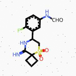 N=C1NC(c2cc(NC=O)ccc2F)CS(=O)(=O)C12CCC2